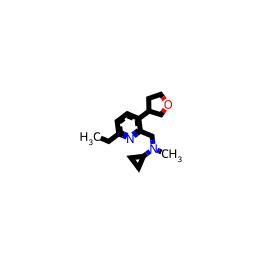 CCc1ccc(C2CCOC2)c(CN(C)C2CC2)n1